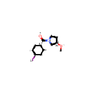 CO[C@@H]1CCN(C(=O)[C@H]2CC[C@H](I)CC2)C1